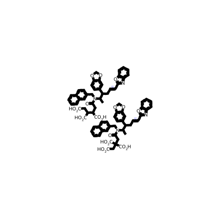 CC(C(C/C=C/c1nc2ccccc2o1)c1ccc2c(c1)OCO2)N(Cc1ccc2ccccc2c1)C(=O)CC(C(=O)O)C(CC(=O)O)C(=O)O.CC(C(C/C=C/c1nc2ccccc2o1)c1ccc2c(c1)OCO2)N(Cc1ccc2ccccc2c1)C(=O)CC(CC(=O)O)(C(=O)O)C(=O)O